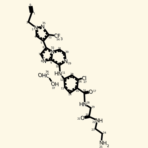 C#CCn1cc(-c2cnc3c(Nc4ccc(C(=O)NCC(=O)NCCN)c(Cl)c4)nccn23)c(C(F)(F)F)n1.O=CO